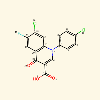 O=C(O)c1cn(-c2ccc(Cl)cc2)c2cc(Cl)c(F)cc2c1=O